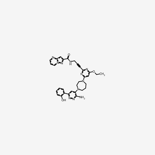 CCOc1cc(N2CCCN(c3cc(-c4ccccc4O)nnc3N)CC2)nc(C#CCNC(=O)c2cc3ncccn3n2)n1